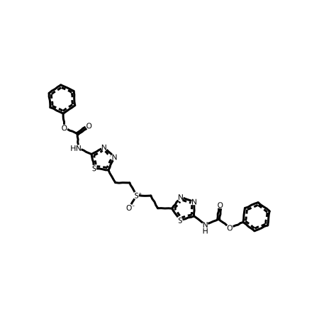 O=C(Nc1nnc(CC[S+]([O-])CCc2nnc(NC(=O)Oc3ccccc3)s2)s1)Oc1ccccc1